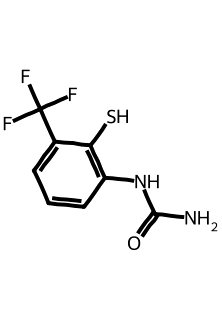 NC(=O)Nc1cccc(C(F)(F)F)c1S